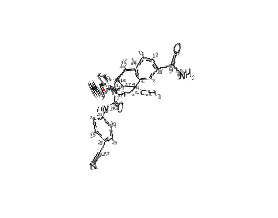 CN1CC[C@]2(C)c3cc(C(N)=O)ccc3C[C@H]1[C@@H]2N(C)C(=O)Nc1ccc(C#N)cc1